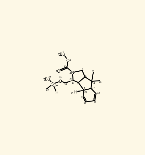 CC(C)(C)OC(=O)N1CC2C([C@H]3C=CC=CC3C2(C)C)[C@H]1CO[Si](C)(C)C(C)(C)C